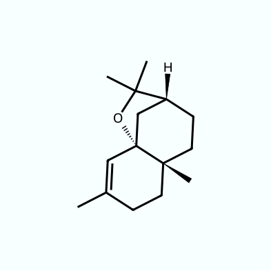 CC1=C[C@@]23C[C@@H](CC[C@]2(C)CC1)C(C)(C)O3